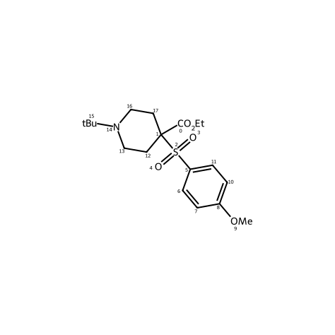 CCOC(=O)C1(S(=O)(=O)c2ccc(OC)cc2)CCN(C(C)(C)C)CC1